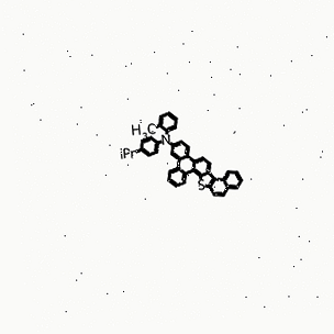 Cc1ccccc1N(c1ccc(C(C)C)cc1)c1ccc2c(c1)c1ccccc1c1c2ccc2c1sc1ccc3ccccc3c12